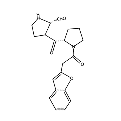 O=C[C@H]1NCCC1C(=O)[C@@H]1CCCN1C(=O)Cc1cc2ccccc2o1